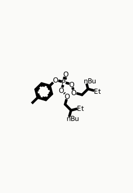 CCCCC(CC)COOP(=O)(OOCC(CC)CCCC)Oc1ccc(C)cc1